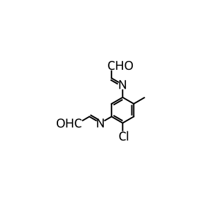 Cc1cc(Cl)c(N=CC=O)cc1N=CC=O